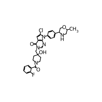 CC1CNC(c2ccc(-n3c(Cl)cc4c(=O)n(CC5(O)CCN(C(=O)c6ccccc6F)CC5)cnc43)cc2)CO1